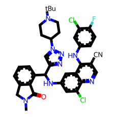 CN1Cc2cccc(C(Nc3cc(Cl)c4ncc(C#N)c(Nc5ccc(F)c(Cl)c5)c4c3)c3cn(C4CCN(C(C)(C)C)CC4)nn3)c2C1=O